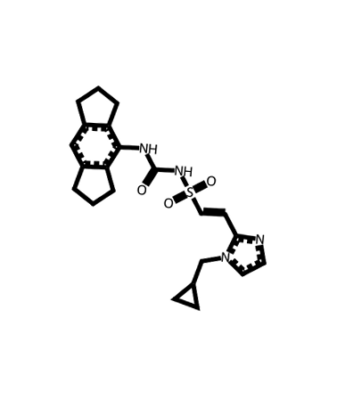 O=C(Nc1c2c(cc3c1CCC3)CCC2)NS(=O)(=O)/C=C/c1nccn1CC1CC1